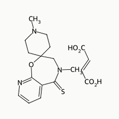 CN1CCC2(CC1)CN(C)C(=S)c1cccnc1O2.O=C(O)C=CC(=O)O